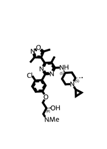 CNC[C@@H](O)COc1ccc(Cl)c(-c2nc(N[C@H]3CCN(C4CC4)[C@@H](C)C3)c(C)c(-c3c(C)noc3C)n2)c1